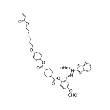 C=CC(=O)OCCCCCCOc1ccc(OC(=O)[C@H]2CC[C@H](C(=O)Oc3ccc(OC=O)cc3/C=N/N(CCCCCC)c3nc4cccnc4s3)CC2)cc1